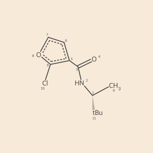 C[C@@H](NC(=O)c1ccoc1Cl)C(C)(C)C